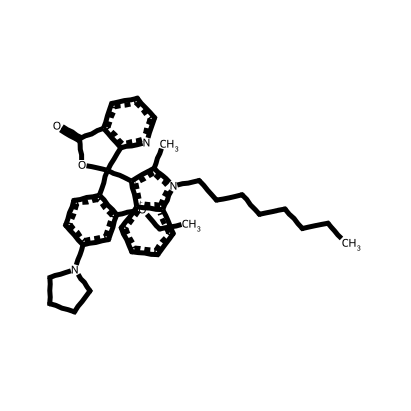 CCCCCCCCn1c(C)c(C2(c3ccc(N4CCCC4)cc3OCC)OC(=O)c3cccnc32)c2ccccc21